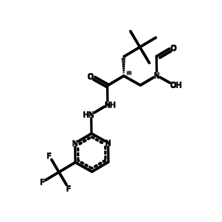 CC(C)(C)C[C@H](CN(O)C=O)C(=O)NNc1nccc(C(F)(F)F)n1